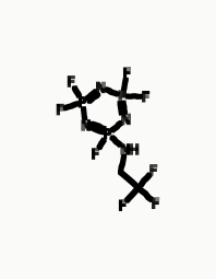 FC(F)(F)CNP1(F)=NP(F)(F)=NP(F)(F)=N1